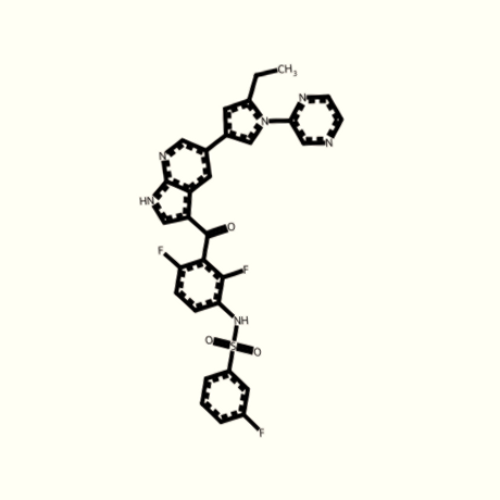 CCc1cc(-c2cnc3[nH]cc(C(=O)c4c(F)ccc(NS(=O)(=O)c5cccc(F)c5)c4F)c3c2)cn1-c1cnccn1